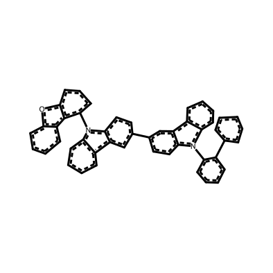 c1ccc(-c2ccccc2-n2c3ccccc3c3cc(-c4ccc5c(c4)c4ccccc4n5-c4cccc5oc6ccccc6c45)ccc32)cc1